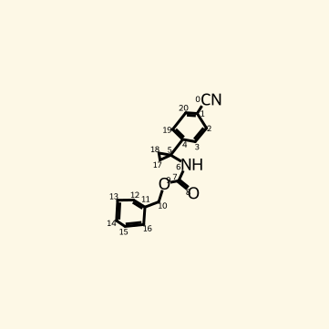 N#Cc1ccc(C2(NC(=O)OCc3ccccc3)CC2)cc1